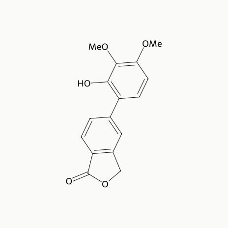 COc1ccc(-c2ccc3c(c2)COC3=O)c(O)c1OC